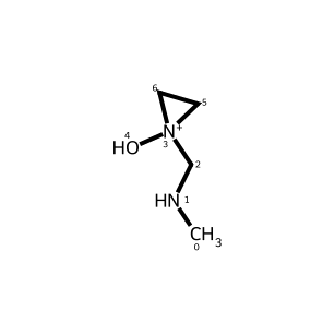 CNC[N+]1(O)CC1